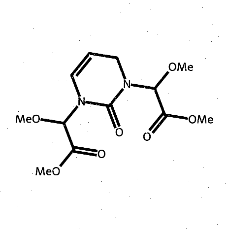 COC(=O)C(OC)N1C=CCN(C(OC)C(=O)OC)C1=O